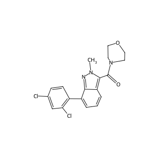 Cn1nc2c(-c3ccc(Cl)cc3Cl)cccc2c1C(=O)N1CCOCC1